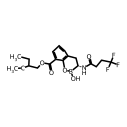 CCC(CC)COC(=O)c1cccc2c1OB(O)[C@@H](NC(=O)CCC(F)(F)F)C2